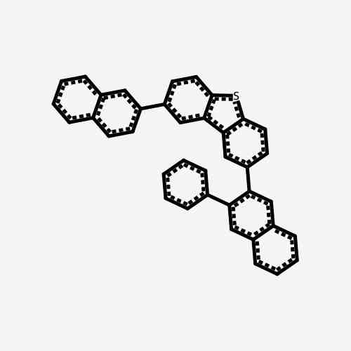 c1ccc(-c2cc3ccccc3cc2-c2ccc3sc4ccc(-c5ccc6ccccc6c5)cc4c3c2)cc1